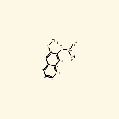 CSc1cc2cccnc2cc1OB(O)O